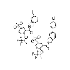 CC(Oc1ccc(S(C)(=O)=O)cc1C(=O)N1Cc2ccc(-c3ccc(Cl)cc3)cc2C1)C(F)(F)F.C[C@H](Oc1ccc(S(C)(=O)=O)cc1C(=O)N1Cc2ccc(I)cc2C1)C(F)(F)F